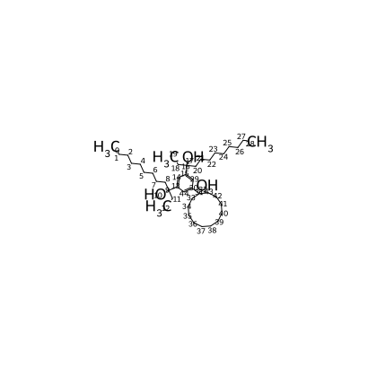 CCCCCCCCCC(O)(CC)c1cc(C(O)(CC)CCCCCCCCC)cc(C2(O)CCCCCCCCCCC2)c1